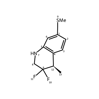 CSc1ccc2c(c1)NCC(F)(F)[C@@H]2C